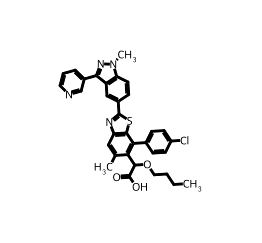 CCCCOC(C(=O)O)c1c(C)cc2nc(-c3ccc4c(c3)c(-c3cccnc3)nn4C)sc2c1-c1ccc(Cl)cc1